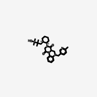 Cc1ccc(CN2CC3C(=O)N([C@H]4CCCC[C@@H]4CC(C)(C)[Si](C)(C)O)CC(=O)N3c3ccccc32)cn1